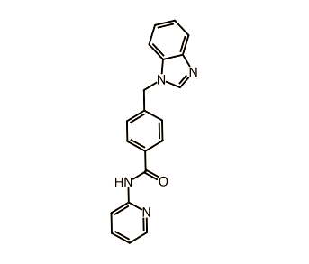 O=C(Nc1ccccn1)c1ccc(Cn2cnc3ccccc32)cc1